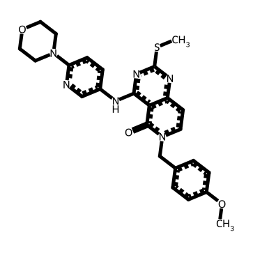 COc1ccc(Cn2ccc3nc(SC)nc(Nc4ccc(N5CCOCC5)nc4)c3c2=O)cc1